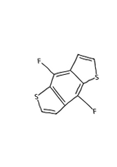 Fc1c2ccsc2c(F)c2ccsc12